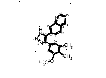 COc1cc(-c2nn[nH]c2-c2ccc3cccnc3c2)cc(C)c1C